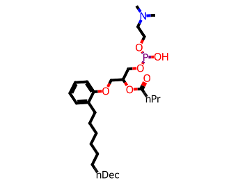 CCCCCCCCCCCCCCCCc1ccccc1OCC(COP(O)OCCN(C)C)OC(=O)CCC